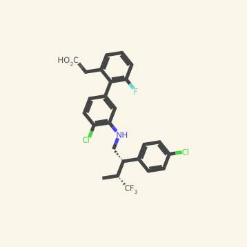 C[C@H]([C@H](CNc1cc(-c2c(F)cccc2CC(=O)O)ccc1Cl)c1ccc(Cl)cc1)C(F)(F)F